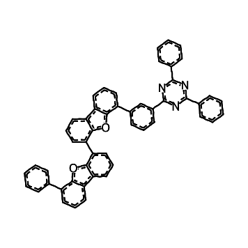 c1ccc(-c2nc(-c3ccccc3)nc(-c3cccc(-c4cccc5c4oc4c(-c6cccc7c6oc6c(-c8ccccc8)cccc67)cccc45)c3)n2)cc1